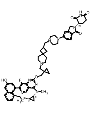 CCc1cccc2cc(O)cc(-c3ncc4c(N(C)[C@@H]5C[C@H]5F)nc(OCC5(CN6CCC7(CC6)CC(CN6CCN(c8ccc9c(c8)CN([C@H]8CCC(=O)NC8=O)C9=O)CC6)C7)CC5)nc4c3F)c12